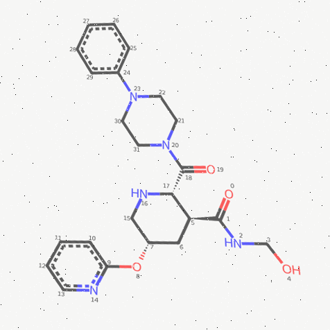 O=C(NCO)[C@H]1C[C@H](Oc2ccccn2)CN[C@@H]1C(=O)N1CCN(c2ccccc2)CC1